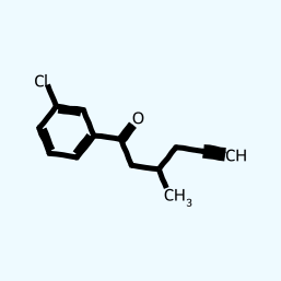 C#CCC(C)CC(=O)c1cccc(Cl)c1